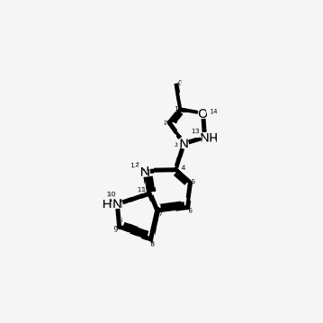 CC1=CN(c2ccc3cc[nH]c3n2)NO1